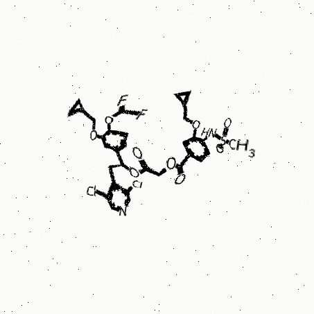 CS(=O)(=O)Nc1ccc(C(=O)OCC(=O)O[C@@H](Cc2c(Cl)cncc2Cl)c2ccc(OC(F)F)c(OCC3CC3)c2)cc1OCC1CC1